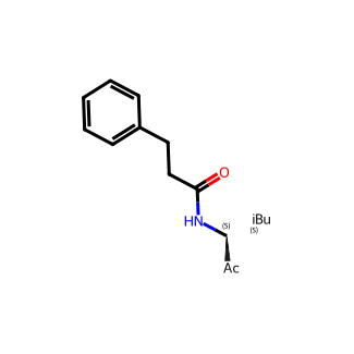 CC[C@H](C)[C@H](NC(=O)CCc1ccccc1)C(C)=O